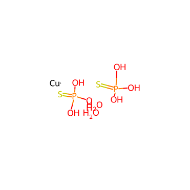 O.O.OP(O)(O)=S.OP(O)(O)=S.[Cu]